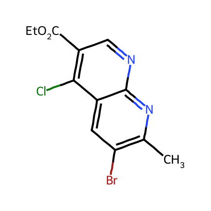 CCOC(=O)c1cnc2nc(C)c(Br)cc2c1Cl